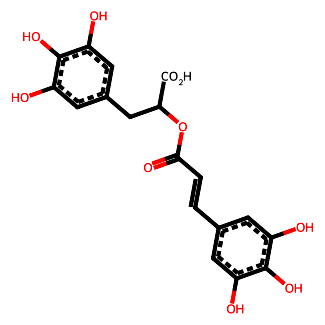 O=C(/C=C/c1cc(O)c(O)c(O)c1)OC(Cc1cc(O)c(O)c(O)c1)C(=O)O